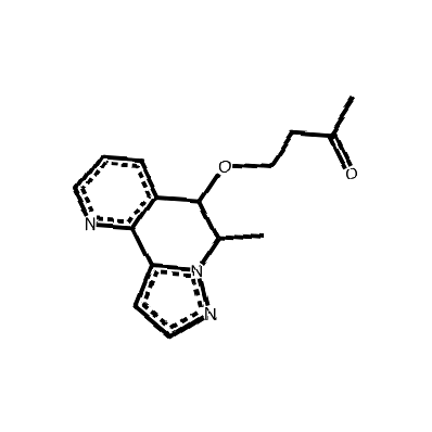 CC(=O)CCOC1c2cccnc2-c2ccnn2C1C